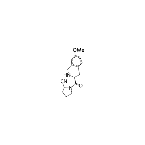 COc1ccc2c(c1)CN[C@H](C(=O)N1CCCC1C#N)C2